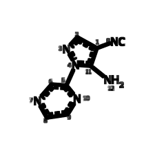 [C-]#[N+]c1cnn(-c2cnccn2)c1N